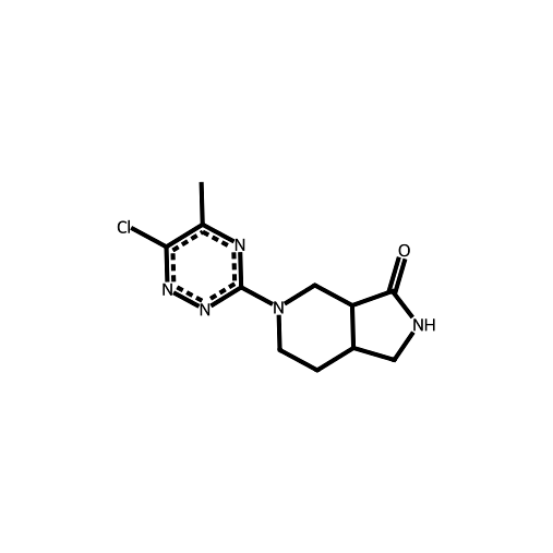 Cc1nc(N2CCC3CNC(=O)C3C2)nnc1Cl